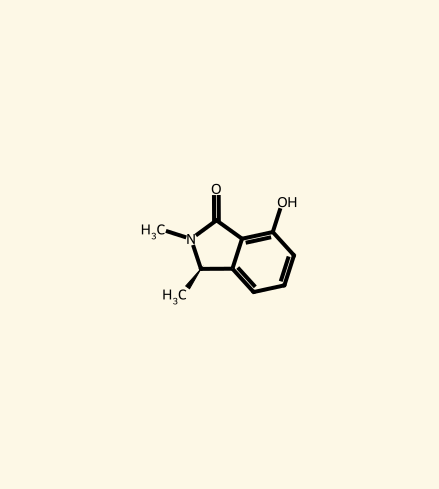 C[C@@H]1c2cccc(O)c2C(=O)N1C